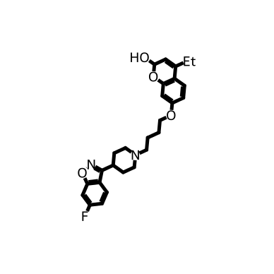 CCC1=CC(O)Oc2cc(OCCCCN3CCC(c4noc5cc(F)ccc45)CC3)ccc21